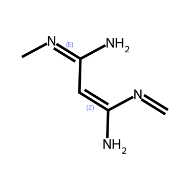 C=N/C(N)=C\C(N)=N/C